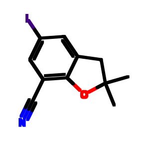 CC1(C)Cc2cc(I)cc(C#N)c2O1